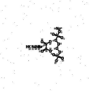 O=S(=O)([O-])OOOOS(=O)(=O)[O-].O=S([O-])S(=O)[O-].[KH].[Na+].[Na+].[Na+].[Na+]